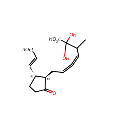 CCCCCCCCC=C[C@H]1CCC(=O)[C@@H]1CC=C=CC(C)C(O)(O)C(=O)O